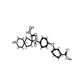 COC(=O)c1cccc(Oc2ccc(S(=O)(=O)C3(C(=O)NO)CCC4(CCNCC4)C3)cc2)c1